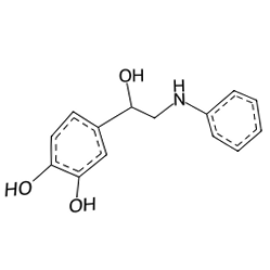 Oc1ccc(C(O)CNc2ccccc2)cc1O